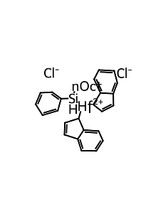 CCCCCCCC[SiH](c1ccccc1)[Hf+2]([CH]1C=Cc2ccccc21)[CH]1C=Cc2ccccc21.[Cl-].[Cl-]